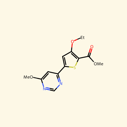 CCOc1cc(-c2cc(OC)ncn2)sc1C(=O)OC